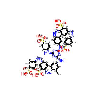 Cc1cc(Nc2nc(Nc3ccc(S(=O)(=O)O)cc3)nc(Nc3ccc(/N=N\c4ccc(/N=N\c5ccc(S(=O)(=O)O)cc5)cc4S(=O)(=O)O)c(C)c3)n2)ccc1/N=N\c1ccc(/N=N\c2ccc(S(=O)(=O)O)cc2)cc1S(=O)(=O)O